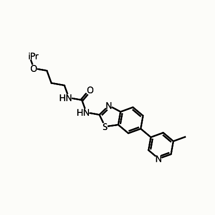 Cc1cncc(-c2ccc3nc(NC(=O)NCCCOC(C)C)sc3c2)c1